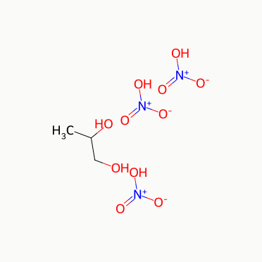 CC(O)CO.O=[N+]([O-])O.O=[N+]([O-])O.O=[N+]([O-])O